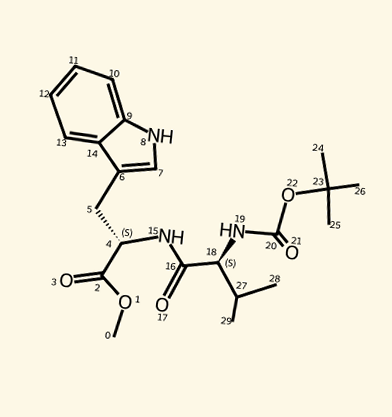 COC(=O)[C@H](Cc1c[nH]c2ccccc12)NC(=O)[C@@H](NC(=O)OC(C)(C)C)C(C)C